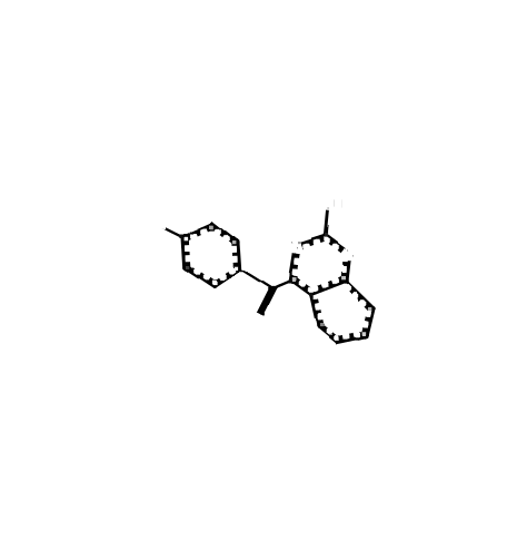 Cc1nc(C(=O)c2ccc(O)cc2)c2ccccc2n1